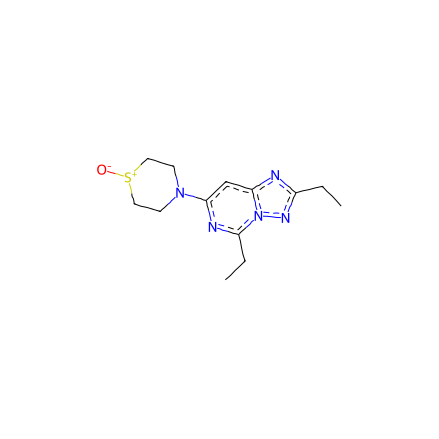 CCc1nc2cc(N3CC[S+]([O-])CC3)nc(CC)n2n1